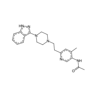 CC(=O)Nc1cnc(CCN2CCN(c3n[nH]c4ccccc34)CC2)cc1C